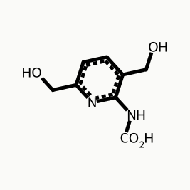 O=C(O)Nc1nc(CO)ccc1CO